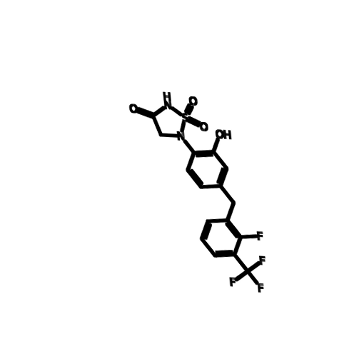 O=C1CN(c2ccc(Cc3cccc(C(F)(F)F)c3F)cc2O)S(=O)(=O)N1